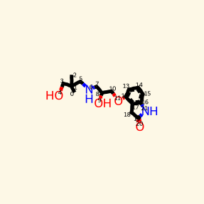 CC(C)(CO)CNCC(O)COc1cccc2c1CC(=O)N2